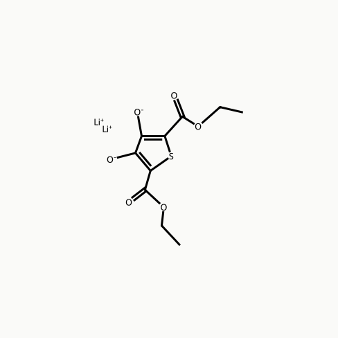 CCOC(=O)c1sc(C(=O)OCC)c([O-])c1[O-].[Li+].[Li+]